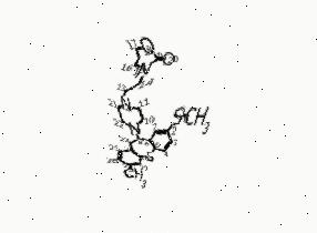 CSc1ccc2c(c1)C(N1CCN(CCN3CCOC3=O)CC1)Cc1ccc(C)cc1S2